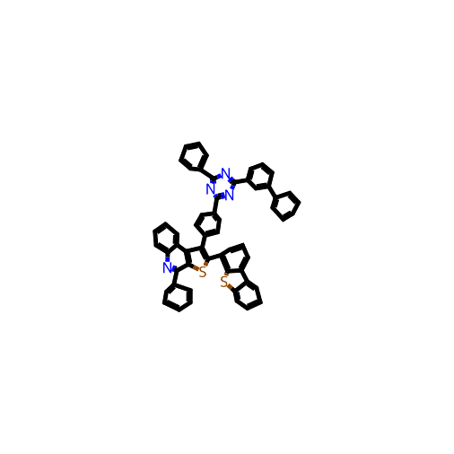 c1ccc(-c2cccc(-c3nc(-c4ccccc4)nc(-c4ccc(-c5c(-c6cccc7c6sc6ccccc67)sc6c(-c7ccccc7)nc7ccccc7c56)cc4)n3)c2)cc1